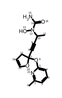 Cc1cccc(OC2(C#CC(C)N(O)C(N)=O)CC=CO2)n1